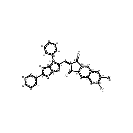 O=C1C(=Cc2cc3sc(-c4ccccc4)nc3n2-c2ccccc2)C(=O)c2cc3cc(Br)c(Br)cc3cc21